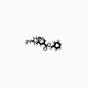 CC(C)CNC(=O)CC(CC(C)C)C(=O)OCc1ccccc1